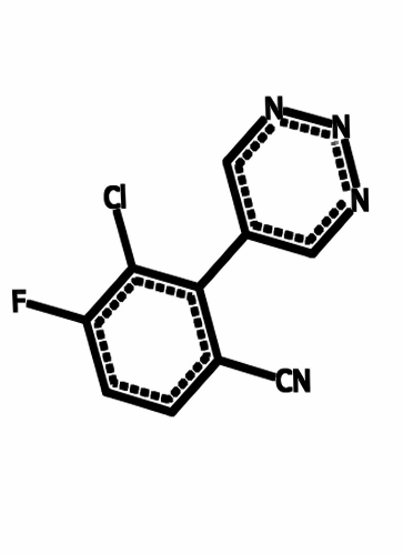 N#Cc1ccc(F)c(Cl)c1-c1cnnnc1